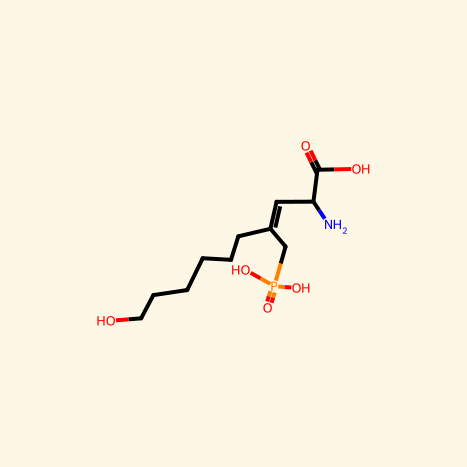 NC(C=C(CCCCCCO)CP(=O)(O)O)C(=O)O